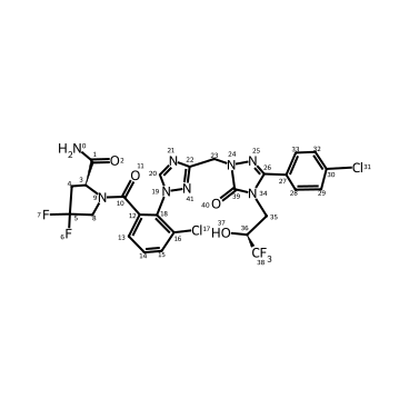 NC(=O)[C@@H]1CC(F)(F)CN1C(=O)c1cccc(Cl)c1-n1cnc(Cn2nc(-c3ccc(Cl)cc3)n(C[C@H](O)C(F)(F)F)c2=O)n1